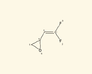 FC(F)=CC1CO1